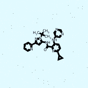 CC(C)(C)n1nc(-c2ccccn2)cc1NC(=O)c1nc(C2CC2)ccc1Nc1cncnc1